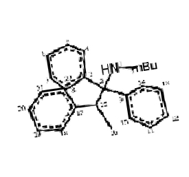 CCCCNC(c1ccccc1)(c1ccccc1)C(C)c1ccccc1